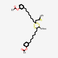 CCCCCCC1SSC(CCCCCCCCc2cccc(OC(=O)CC)c2)(CC2SC2CCC)SSC1CCCCCCCc1cccc(OC(=O)CC)c1